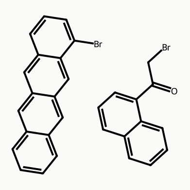 Brc1cccc2cc3cc4ccccc4cc3cc12.O=C(CBr)c1cccc2ccccc12